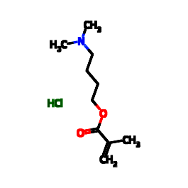 C=C(C)C(=O)OCCCCN(C)C.Cl